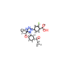 CCC(Oc1ccc(C(=O)C2CC2)cc1)c1nnn(-c2ccc(C(=O)O)c(F)c2)n1